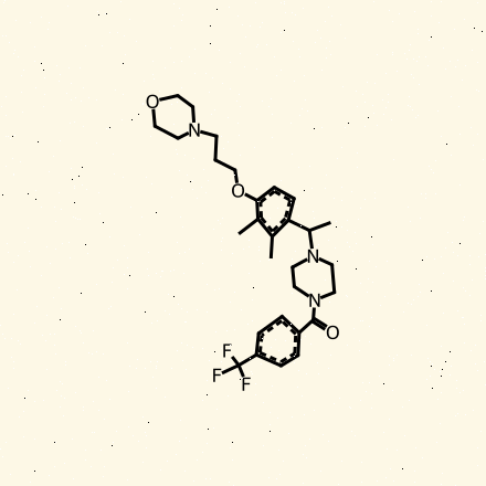 Cc1c(OCCCN2CCOCC2)ccc(C(C)N2CCN(C(=O)c3ccc(C(F)(F)F)cc3)CC2)c1C